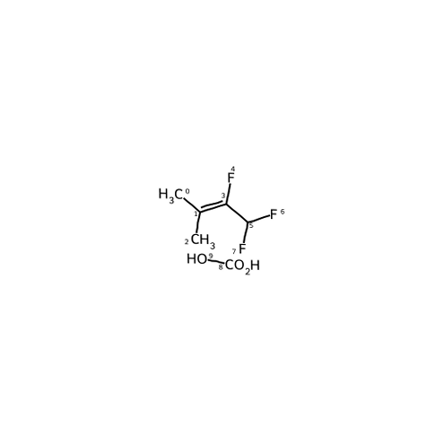 CC(C)=C(F)C(F)F.O=C(O)O